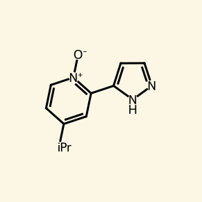 CC(C)c1cc[n+]([O-])c(-c2ccn[nH]2)c1